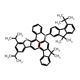 CC(C)c1cc(C(C)C)c2sc3c(-c4ccccc4N(c4ccc5c(c4)C(C)(C)c4ccccc4-5)c4ccc5c(c4)C(C)(C)c4cccc(C(C)(C)C)c4-5)cccc3c2c1